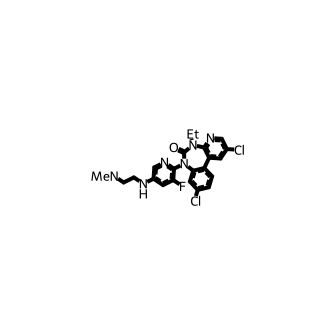 CCN1C(=O)N(c2ncc(NCCNC)cc2F)c2cc(Cl)ccc2-c2cc(Cl)cnc21